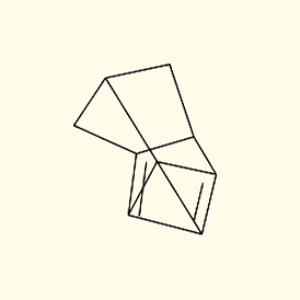 C1C2=C3CC4CC3C1=C24